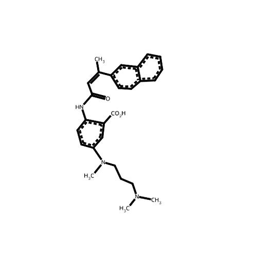 C/C(=C/C(=O)Nc1ccc(N(C)CCCN(C)C)cc1C(=O)O)c1ccc2ccccc2c1